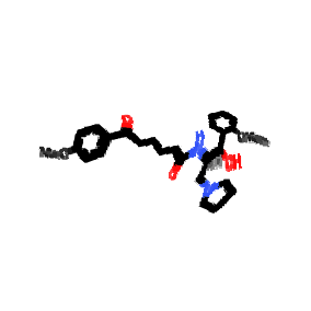 COc1ccc(C(=O)CCCCC(=O)N[C@H](CN2CCCC2)[C@H](O)c2ccccc2OC)cc1